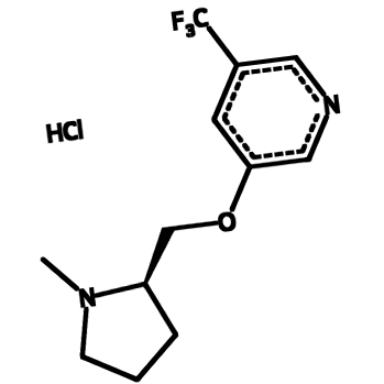 CN1CCC[C@@H]1COc1cncc(C(F)(F)F)c1.Cl